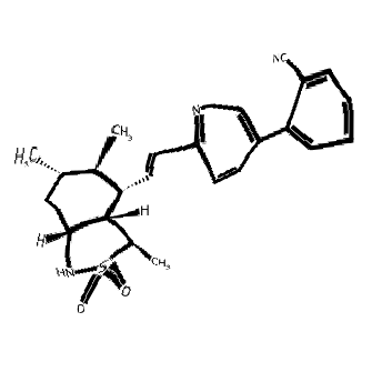 C[C@H]1[C@H](/C=C/c2ccc(-c3ccccc3C#N)cn2)[C@@H]2[C@@H](C)S(=O)(=O)N[C@@H]2C[C@@H]1C